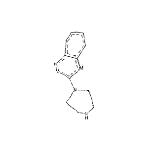 c1ccc2nc(N3CCNCC3)cnc2c1